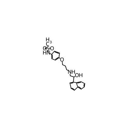 CS(=O)(=O)Nc1ccc(OCCCNCC(O)c2cccc3ccccc23)cc1